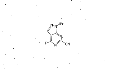 CC(C)n1ncc2c(F)nc(C#N)nc21